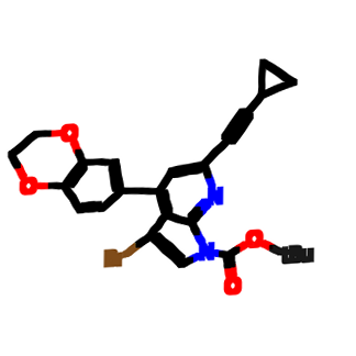 CC(C)(C)OC(=O)n1cc(Br)c2c(-c3ccc4c(c3)OCCO4)cc(C#CC3CC3)nc21